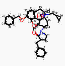 O=C1C(Cc2ccccc2)CCN1[C@@H]1CCC2(O)[C@H]3Cc4ccc(OCc5ccccc5)c5c4[C@@]2(CCN3CC2CC2)[C@H]1O5